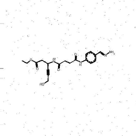 CCOC(=O)CC(C#CCO)NC(=O)CCC(=O)Nc1ccc(C=NN)cc1